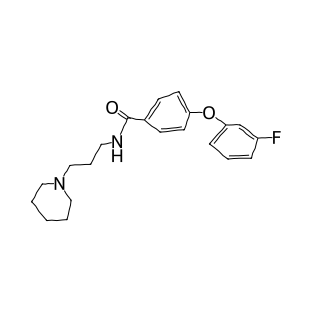 O=C(NCCCN1CCCCC1)c1ccc(Oc2cccc(F)c2)cc1